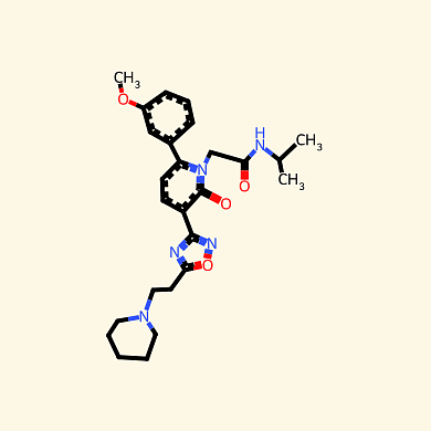 COc1cccc(-c2ccc(-c3noc(CCN4CCCCC4)n3)c(=O)n2CC(=O)NC(C)C)c1